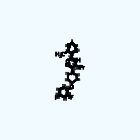 Cc1nccnc1C(=O)N[C@H](C(=O)N1CCC(Oc2ccc(F)cc2F)CC1)C(C)C